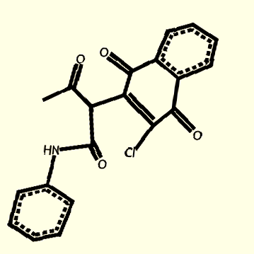 CC(=O)C(C(=O)Nc1ccccc1)C1=C(Cl)C(=O)c2ccccc2C1=O